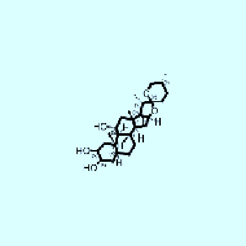 C[C@@H]1CC[C@@]2(OC1)O[C@H]1C[C@H]3[C@@H]4CC[C@@H]5C[C@@H](O)[C@@H](O)C[C@]5(C)[C@H]4[C@H](O)C[C@]3(C)[C@H]1[C@@H]2C